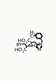 Cc1cccc(Cn2cncc2C[C@H](NC(CC(C)C)C(=O)O)C(=O)O)c1